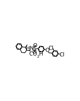 CC1c2ccccc2CCC1C(NS(=O)(=O)c1ccc(OCc2ccc(Cl)cc2Cl)cc1)C(=O)O